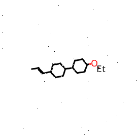 CC=CC1CCC(C2CCC(OCC)CC2)CC1